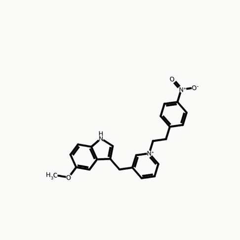 COc1ccc2[nH]cc(Cc3ccc[n+](CCc4ccc([N+](=O)[O-])cc4)c3)c2c1